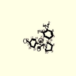 CN(C)c1ccc([C@@H]2CCCN2S(=O)(=O)c2ccc(Cl)cc2)cc1F